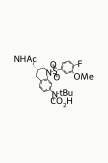 COc1cc(S(=O)(=O)N2C[C@@H](CNC(C)=O)Cc3ccc(N(C(=O)O)C(C)(C)C)cc32)ccc1F